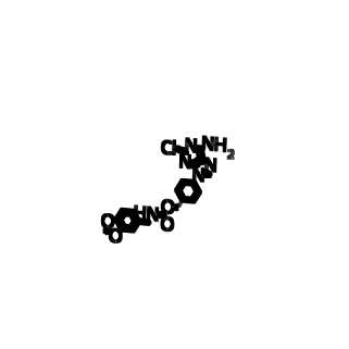 Nc1nc(Cl)nc2c1ncn2[C@H]1CC[C@@H](COC(=O)NCc2ccc3c(c2)OCO3)CC1